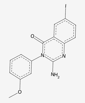 COc1cccc(-n2c(N)nc3ccc(I)cc3c2=O)c1